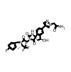 C[C@H](N(Cc1ccc(F)cc1)C(=O)CN1C(=O)N[C@]2(C[C@H](O)c3cc(-c4cnn(CC(N)=O)c4)ccc32)C1=O)C(F)(F)F